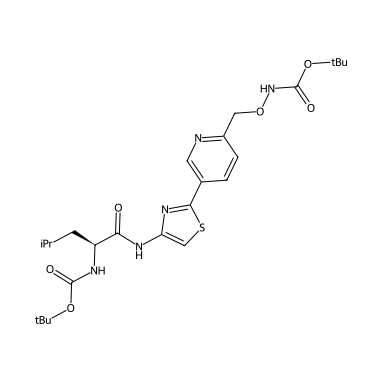 CC(C)C[C@H](NC(=O)OC(C)(C)C)C(=O)Nc1csc(-c2ccc(CONC(=O)OC(C)(C)C)nc2)n1